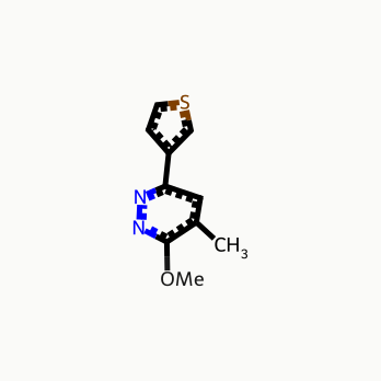 COc1nnc(-c2ccsc2)cc1C